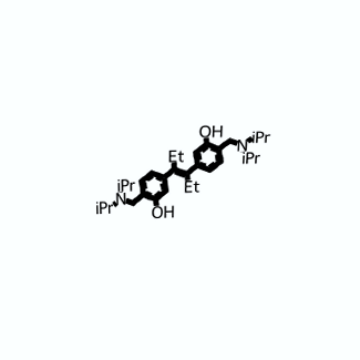 CC/C(=C(/CC)c1ccc(CN(C(C)C)C(C)C)c(O)c1)c1ccc(CN(C(C)C)C(C)C)c(O)c1